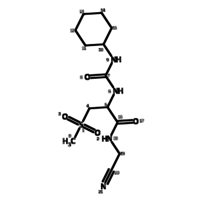 CS(=O)(=O)CC(NC(=O)NC1CCCCC1)C(=O)NCC#N